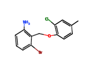 Cc1ccc(OCc2c(N)cccc2Br)c(Cl)c1